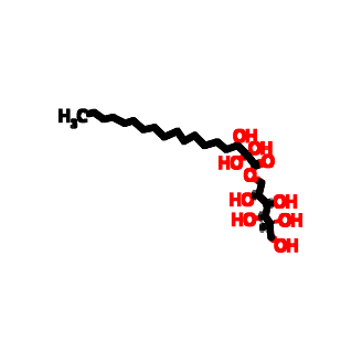 CCCCCCCCCCCCCCCC(O)C(O)(O)C(=O)OC[C@H](O)[C@@H](O)[C@H](O)[C@H](O)CO